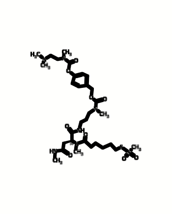 CNC(=O)C[C@@H](C(=O)NCCCN(C)C(=O)OCc1ccc(OC(=O)N(C)CCN(C)C)cc1)N(C)C(=O)CCCCCSS(C)(=O)=O